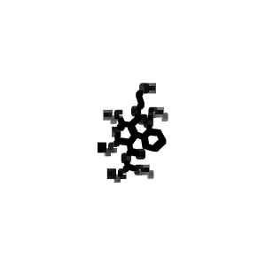 COc1ccccc1-c1c(C(=O)OCCO)c(C)nc(C)c1C(=O)OC(C)C